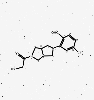 CC(C)(C)OC(=O)N1CC2CN(c3cc(C(F)(F)F)ccc3C=O)CC2C1